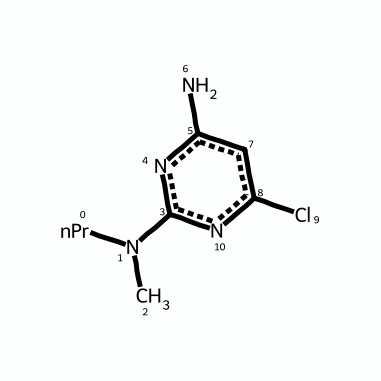 CCCN(C)c1nc(N)cc(Cl)n1